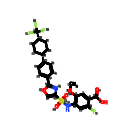 COc1cc(C(=O)O)c(F)cc1NS(=O)(=O)c1coc(-c2ccc([C@H]3CC[C@@H](C(F)(F)F)CC3)cc2)n1